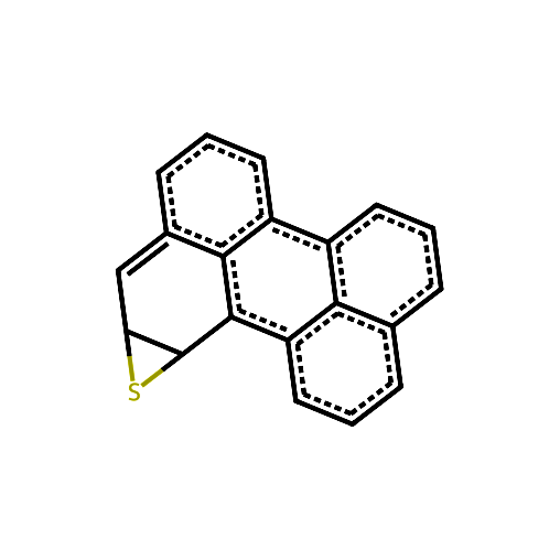 C1=c2cccc3c2c(c2cccc4cccc3c42)C2SC12